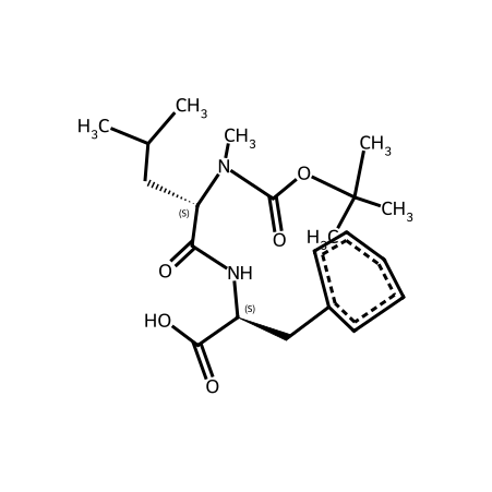 CC(C)C[C@@H](C(=O)N[C@@H](Cc1ccccc1)C(=O)O)N(C)C(=O)OC(C)(C)C